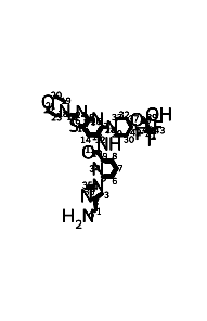 NCc1cn(-c2cccc(C(=O)Nc3cc4sc(N5CCOCC5)nc4nc3N3CCCCC3)n2)cn1.O=C(O)C(F)(F)F